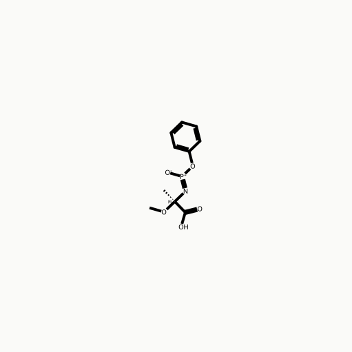 CO[C@@](C)(N=[P+]([O-])Oc1ccccc1)C(=O)O